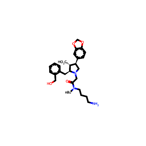 CCCCN(CCCCN)C(=O)CN1C[C@H](c2ccc3c(c2)OCO3)[C@@H](C(=O)O)[C@@H]1Cc1ccccc1CO